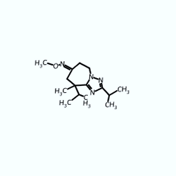 CO/N=C1/CCn2nc(C(C)C)nc2C(C)(C(C)C)C1